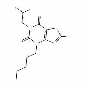 CCCCCn1c(=O)n(CC(C)O)c(=O)c2[nH]c(Cl)nc21